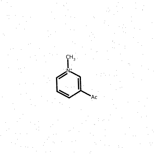 CC(=O)c1ccc[n+](C)c1